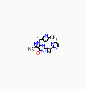 C[C@H](c1ccc(C(F)(F)F)nc1)n1nc(C#N)c2c(=O)[nH]c([C@@]3(C)CC[C@@H]3c3ncccn3)nc21